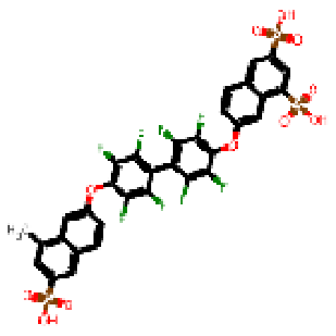 Cc1cc(S(=O)(=O)O)cc2ccc(Oc3c(F)c(F)c(-c4c(F)c(F)c(Oc5ccc6cc(S(=O)(=O)O)cc(S(=O)(=O)O)c6c5)c(F)c4F)c(F)c3F)cc12